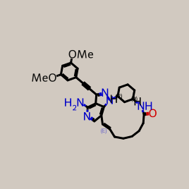 COc1cc(C#Cc2nn3c4c(cnc(N)c24)/C=C/CCCCCC(=O)N[C@@H]2CCC[C@@H]3C2)cc(OC)c1